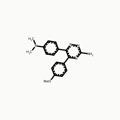 COc1ccc(-c2nc(N)nnc2-c2ccc(N(C)C)cc2)cc1